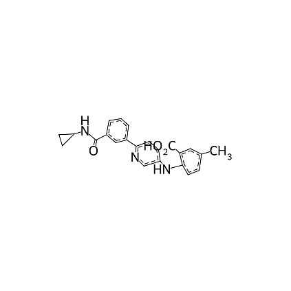 Cc1ccc(Nc2ccc(-c3cccc(C(=O)NC4CC4)c3)nc2)c(C(=O)O)c1